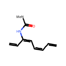 C=C/C=C\C=C(/C=C)NC(=O)NC